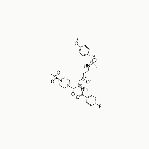 COc1ccc([C@@H]2C[C@@]2(C)NCC[S+]([O-])C[C@H](NC(=O)c2ccc(F)cc2)C(=O)N2CCN(S(C)(=O)=O)CC2)cc1